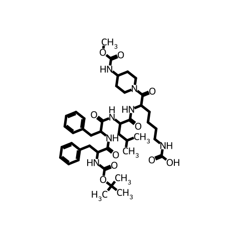 COC(=O)NC1CCN(C(=O)C(CCCCNC(=O)O)NC(=O)C(CC(C)C)NC(=O)C(Cc2ccccc2)NC(=O)C(Cc2ccccc2)NC(=O)OC(C)(C)C)CC1